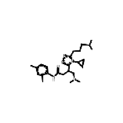 Cc1ccc(NC(=O)CC(CN(C)C)c2nnc(CCCC(C)C)n2C2CC2)c(C)c1